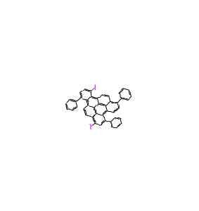 Ic1cc(-c2ccccc2)c2c3ccc(-c4ccccc4)c4ccc5c6c(I)ccc(-c7ccccc7)c6c6ccc1c2c6c5c43